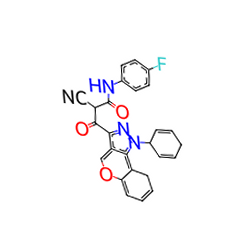 N#CC(C(=O)Nc1ccc(F)cc1)C(=O)c1nn(C2C=CCC=C2)c2c1=COC1=CC=CCC=21